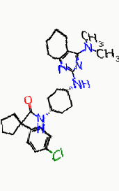 CN(C)c1nc(N[C@H]2CC[C@@H](NC(=O)C3(c4ccc(Cl)cc4)CCCC3)CC2)nc2c1CCCC2